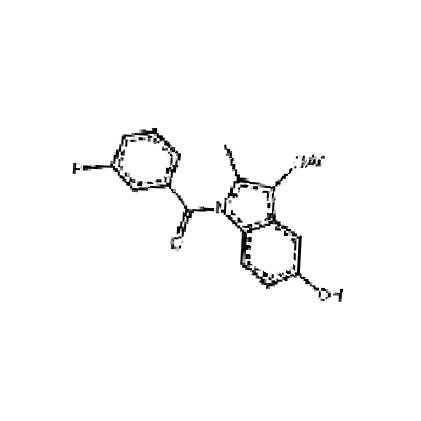 CC(=O)Oc1c(C)n(C(=O)c2cccc(F)c2)c2ccc(O)cc12